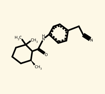 C[C@H]1CCCC(C)(C)C1C(=O)Nc1ccc(CC#N)cc1